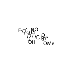 COCCN(C(=O)C1(C)CC1)C1CCC(Oc2cc(=O)n(C)cc2-c2cc(C(C)(C)O)ccc2Oc2c(C)cc(F)cc2C)CC1